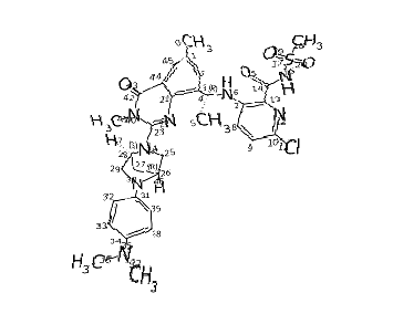 Cc1cc([C@@H](C)Nc2ccc(Cl)nc2C(=O)NS(C)(=O)=O)c2nc(N3C[C@H]4C[C@H]3CN4c3ccc(N(C)C)cc3)n(C)c(=O)c2c1